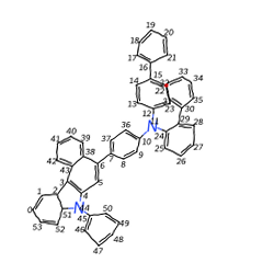 C1=CC2c3c(cc(-c4ccc(N(c5ccc(-c6ccccc6)cc5)c5ccccc5-c5ccccc5)cc4)c4ccccc34)N(c3ccccc3)C2C=C1